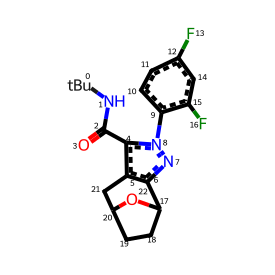 CC(C)(C)NC(=O)c1c2c(nn1-c1ccc(F)cc1F)C1CCC(C2)O1